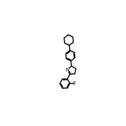 Fc1ccccc1C1=NC(c2ccc(C3CCCCC3)cc2)CC1